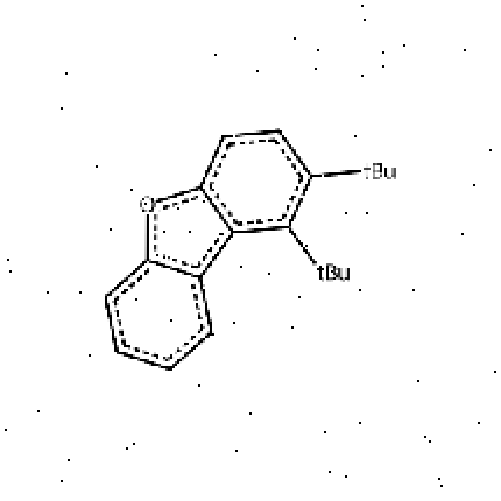 CC(C)(C)c1ccc2oc3ccccc3c2c1C(C)(C)C